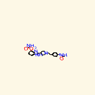 CC(=O)Nc1ccc(CCN2CCC(c3nc4c(OC(N)=O)cccc4[nH]3)CC2)cc1